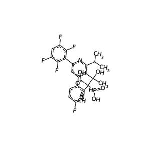 C#CC(C(=O)O)([PH](=O)O)C(C)(O)c1c(-c2ccc(F)cc2)cc(-c2c(F)c(F)cc(F)c2F)nc1C(C)C